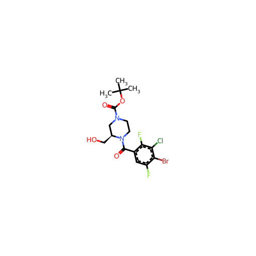 CC(C)(C)OC(=O)N1CCN(C(=O)c2cc(F)c(Br)c(Cl)c2F)[C@@H](CO)C1